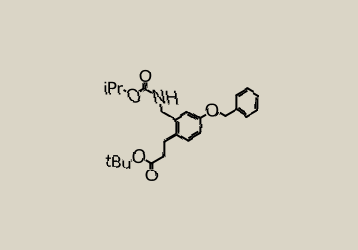 CC(C)OC(=O)NCc1cc(OCc2ccccc2)ccc1CCC(=O)OC(C)(C)C